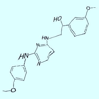 COc1ccc(Nc2nccc(NCC(O)c3cccc(OC)c3)n2)cc1